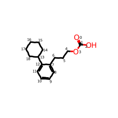 O=C(O)OCCCc1ccccc1C1CCCCC1